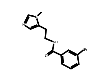 CC(C)c1cccc(C(=O)NCCc2cncn2C)c1